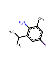 Cc1cc(I)cc(C(C)C)c1N